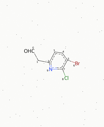 O=CCc1ccc(Br)c(Cl)n1